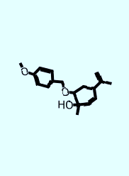 C=C(C)C1C=CC(C)(O)C(OCc2ccc(OC)cc2)C1